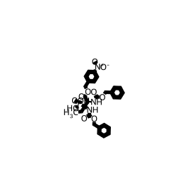 CCC(NC(=O)OCc1ccccc1)([C@H](NC(=O)OCc1ccccc1)C(=O)OCc1ccc([N+](=O)[O-])cc1)P(=O)(O)O